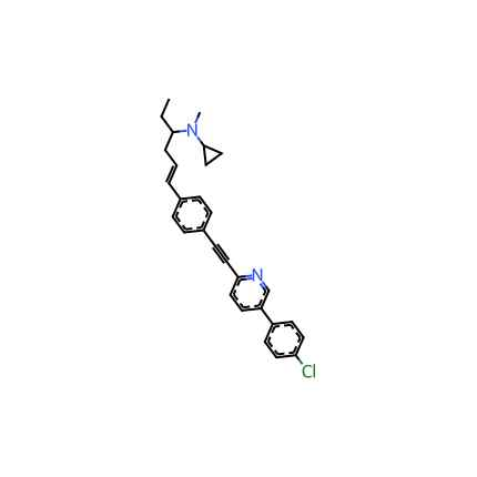 CCC(CC=Cc1ccc(C#Cc2ccc(-c3ccc(Cl)cc3)cn2)cc1)N(C)C1CC1